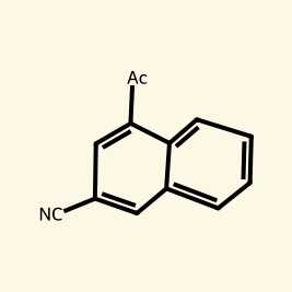 CC(=O)c1cc(C#N)cc2ccccc12